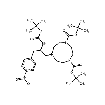 CC(C)(C)OC(=O)NC(Cc1ccc([N+](=O)[O-])cc1)CN1CCN(C(=O)OC(C)(C)C)CCN(C(=O)OC(C)(C)C)CC1